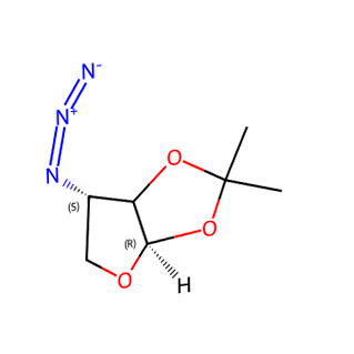 CC1(C)OC2[C@H](OC[C@@H]2N=[N+]=[N-])O1